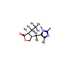 [2H]c1nc(C)n(C)c1C([2H])([2H])[C@H]1COC(=O)[C@@]1([2H])C([2H])([2H])C([2H])([2H])[2H]